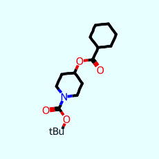 CC(C)(C)OC(=O)N1CCC(OC(=O)C2CCCCC2)CC1